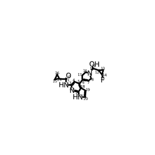 O=C(Nc1cc(C2=CCN(C(O)C3CC3F)CC2)c2cc[nH]c2n1)C1CC1